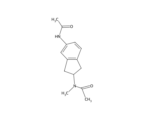 CC(=O)Nc1ccc2c(c1)CC(N(C)C(C)=O)C2